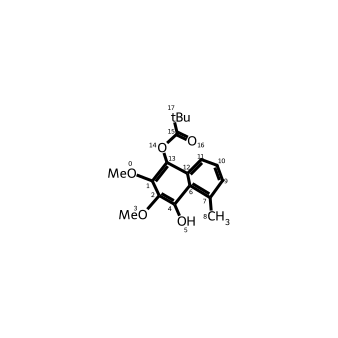 COc1c(OC)c(O)c2c(C)cccc2c1OC(=O)C(C)(C)C